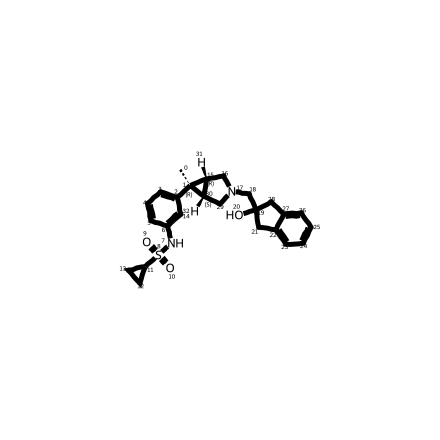 C[C@]1(c2cccc(NS(=O)(=O)C3CC3)c2)[C@@H]2CN(CC3(O)Cc4ccccc4C3)C[C@@H]21